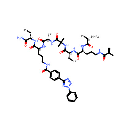 C=C(C)C(=O)NCCC[C@H](NC(=O)[C@@H](NC(C)=O)C(C)C)C(=O)N[C@@H](CC(C)C)C(=O)NC(C)(C)C(=O)N[C@H](C(=O)N[C@@H](CCCNC(=O)c1ccc(-c2nnn(-c3ccccc3)n2)cc1)C(=O)N[C@@H](CC(C)C)C(N)=O)C(C)C